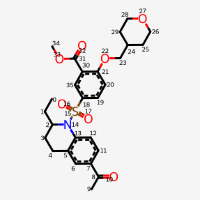 CCC1CCc2cc(C(C)=O)ccc2N1S(=O)(=O)c1ccc(OCC2CCOCC2)c(C(=O)OC)c1